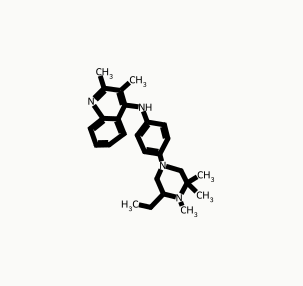 CCC1CN(c2ccc(Nc3c(C)c(C)nc4ccccc34)cc2)CC(C)(C)N1C